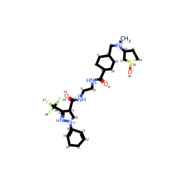 CN(CC1CCC(C(=O)NCCNC(=O)C2CN(C3=CCCC=C3)N=C2C(F)(F)F)CC1)C1CC[S+]([O-])C1